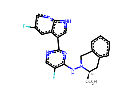 O=C(O)[C@@H]1Cc2ccccc2CN1Nc1nc(-c2c[nH]c3ncc(F)cc23)ncc1F